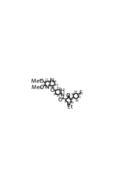 CCn1cc(C(=O)Nc2ccc(Oc3ccnc4cc(OC)c(OC)nc34)cc2)c(=O)c(-c2ccc(F)cc2)c1